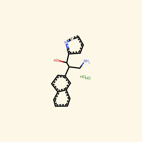 Cl.Cl.NCC(c1ccc2ccccc2c1)C(O)c1ccccn1